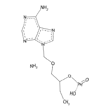 CCC(COCn1cnc2c(N)ncnc21)O[PH](=O)O.N